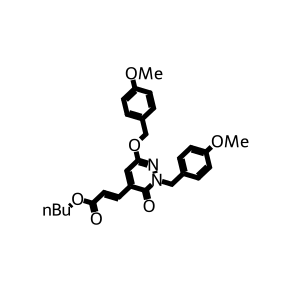 CCCCOC(=O)/C=C/c1cc(OCc2ccc(OC)cc2)nn(Cc2ccc(OC)cc2)c1=O